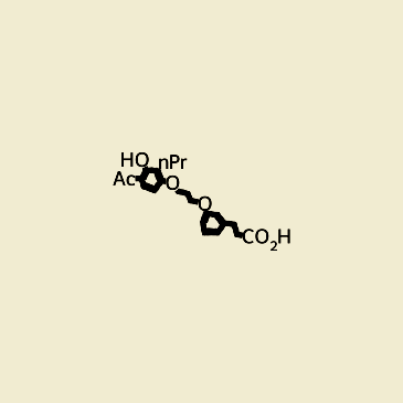 CCCc1c(OCCCOc2cccc(CCC(=O)O)c2)ccc(C(C)=O)c1O